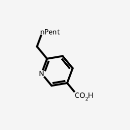 CCCCCCc1ccc(C(=O)O)cn1